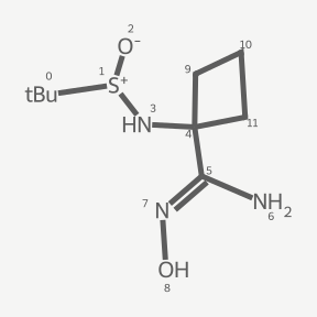 CC(C)(C)[S+]([O-])NC1(/C(N)=N/O)CCC1